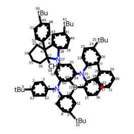 CC(C)(C)c1ccc(N2c3ccc(C(C)(C)C)cc3B3c4ccccc4N(c4ccc(C(C)(C)C)cc4-c4ccccc4)c4cc(N5c6ccc(C(C)(C)C)cc6C6(c7ccc(C(C)(C)C)cc7)CCCCC56C)cc2c43)cc1